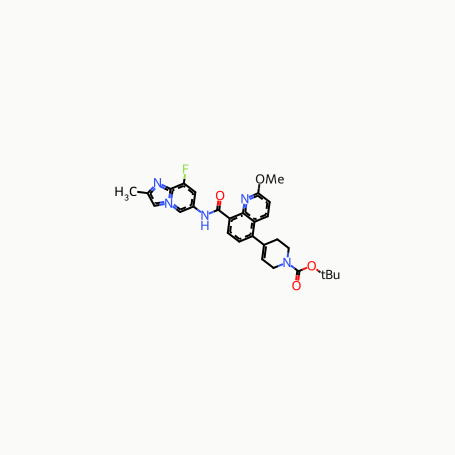 COc1ccc2c(C3=CCN(C(=O)OC(C)(C)C)CC3)ccc(C(=O)Nc3cc(F)c4nc(C)cn4c3)c2n1